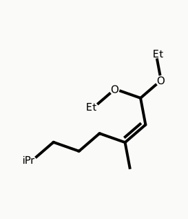 CCOC(C=C(C)CCCC(C)C)OCC